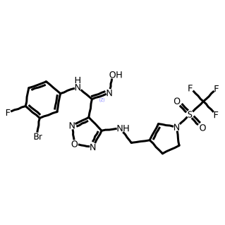 O=S(=O)(N1C=C(CNc2nonc2/C(=N/O)Nc2ccc(F)c(Br)c2)CC1)C(F)(F)F